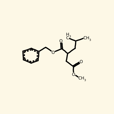 COC(=O)CC(CC(C)C)C(=O)OCc1ccccc1